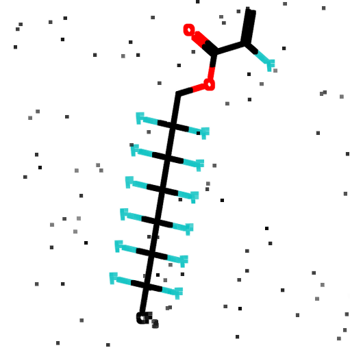 C=C(F)C(=O)OCC(F)(F)C(F)(F)C(F)(F)C(F)(F)C(F)(F)C(F)(F)C(F)(F)F